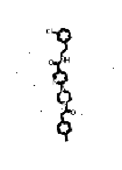 Cc1ccc(CC(=O)N2CCN(c3ccc(C(=O)NCCc4cccc(Cl)c4)cn3)CC2)cc1